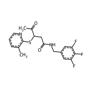 CC(=O)C(CC(=O)NCc1cc(F)c(F)c(F)c1)Sc1ncccc1C